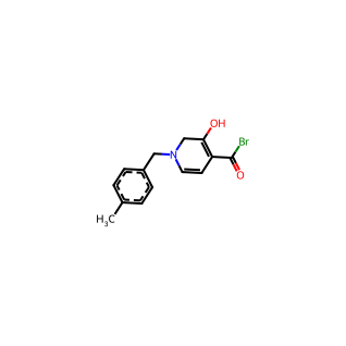 Cc1ccc(CN2C=CC(C(=O)Br)=C(O)C2)cc1